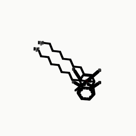 CCCCCCCCC1=CC2C(=O)NC(=O)C1(CCCCCCCC)c1c2c2ccc1c(=O)[nH]c2=O